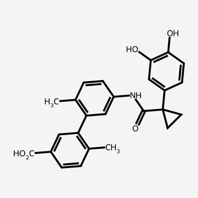 Cc1ccc(NC(=O)C2(c3ccc(O)c(O)c3)CC2)cc1-c1cc(C(=O)O)ccc1C